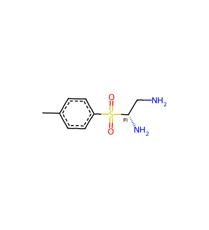 Cc1ccc(S(=O)(=O)[C@@H](N)CN)cc1